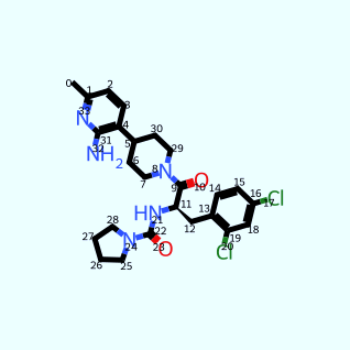 Cc1ccc(C2CCN(C(=O)[C@@H](Cc3ccc(Cl)cc3Cl)NC(=O)N3CCCC3)CC2)c(N)n1